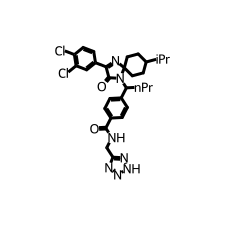 CCCC(c1ccc(C(=O)NCc2nn[nH]n2)cc1)N1C(=O)C(c2ccc(Cl)c(Cl)c2)=NC12CCC(C(C)C)CC2